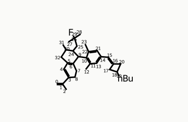 C=C(C)C1=CC2=C(CC1)C(c1c(C)cc(C=C3CC(CCCC)C3)cc1C)C(CC(C)(C)F)C(C)C2